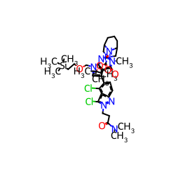 CN(C)C(=O)CCn1nc2ccc(-c3cn(COCC[Si](C)(C)C)c4nc(N5C6CCCC5CN(C(=O)OC(C)(C)C)C6)n(C)c(=O)c34)c(Cl)c2c1Cl